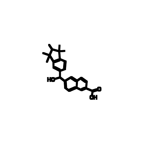 CC1C(C)(C)c2ccc(C(O)c3ccc4cc(C(=O)O)ccc4c3)cc2C1(C)C